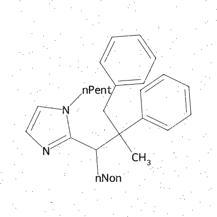 CCCCCCCCCC(c1nccn1CCCCC)C(C)(Cc1ccccc1)c1ccccc1